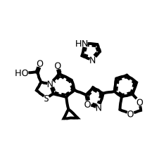 O=C(O)C1CSc2c(C3CC3)c(-c3cc(-c4cccc5c4COCO5)no3)cc(=O)n21.c1c[nH]cn1